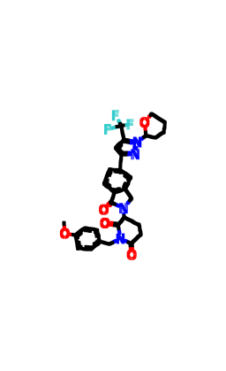 COc1ccc(CN2C(=O)CCC(N3Cc4cc(-c5cc(C(F)(F)F)n(C6CCCCO6)n5)ccc4C3=O)C2=O)cc1